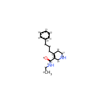 CCNC(=O)C1=C(CCCc2ccccc2)CCNC1